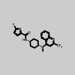 CN(c1cc(C(F)(F)F)nc2ccccc12)[C@H]1CC[C@@H](NC(=O)c2ccc(F)s2)CC1